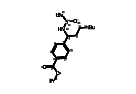 CC(C)OC(=O)c1ccc(C(CCC(C)(C)C)N[S+]([O-])C(C)(C)C)cc1